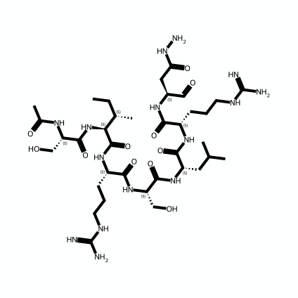 CC[C@H](C)[C@H](NC(=O)[C@H](CO)NC(C)=O)C(=O)N[C@@H](CCCNC(=N)N)C(=O)N[C@@H](CO)C(=O)N[C@@H](CC(C)C)C(=O)N[C@@H](CCCNC(=N)N)C(=O)N[C@H](C=O)CC(=O)NN